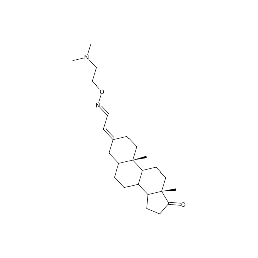 CN(C)CCON=C/C=C1\CC[C@@]2(C)C(CCC3C2CC[C@]2(C)C(=O)CCC32)C1